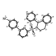 N#Cc1ccc(-c2cccc(S(=O)(=O)N3CCc4ccccc4C3c3ccncc3)n2)cc1